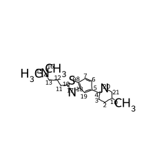 CC1CCC(c2ccc3sc(CCCN(C)C)nc3c2)=NC1